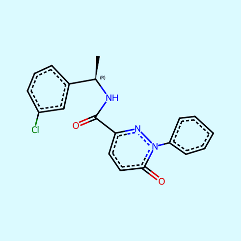 C[C@@H](NC(=O)c1ccc(=O)n(-c2ccccc2)n1)c1cccc(Cl)c1